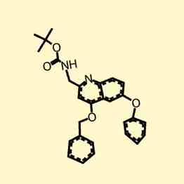 CC(C)(C)OC(=O)NCc1cc(OCc2ccccc2)c2cc(Oc3ccccc3)ccc2n1